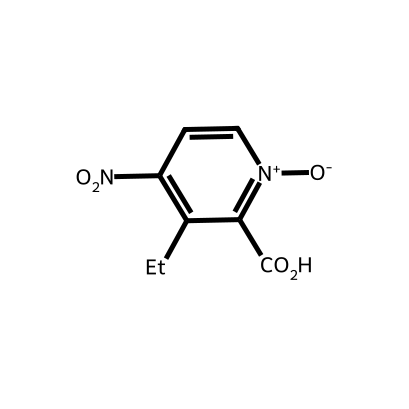 CCc1c([N+](=O)[O-])cc[n+]([O-])c1C(=O)O